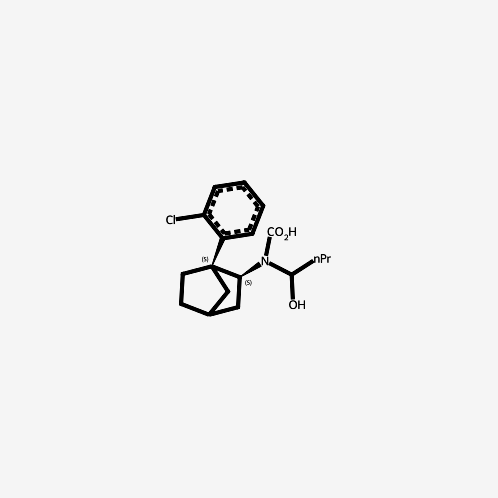 CCCC(O)N(C(=O)O)[C@H]1CC2CC[C@@]1(c1ccccc1Cl)C2